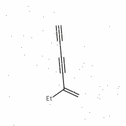 C#CC#CC(=C)CC